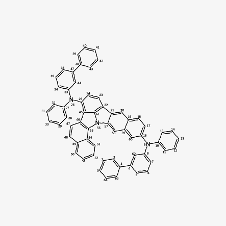 c1ccc(-c2cccc(N(c3ccccc3)c3ccc4cc5c6ccc(N(c7ccccc7)c7cccc(-c8ccccc8)c7)c7c8ccc9ccccc9c8n(c5cc4c3)c67)c2)cc1